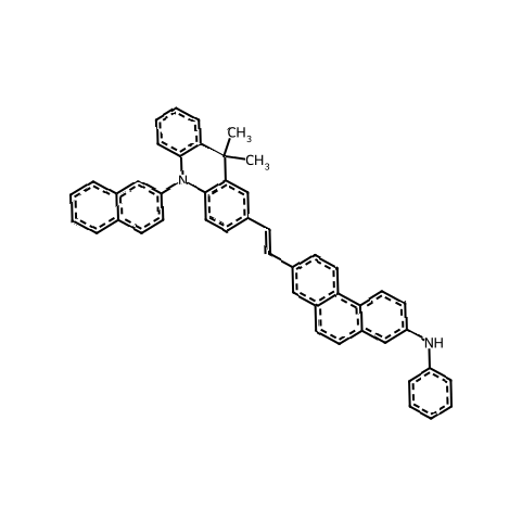 CC1(C)c2ccccc2N(c2ccc3ccccc3c2)c2ccc(/C=C/c3ccc4c(ccc5cc(Nc6ccccc6)ccc54)c3)cc21